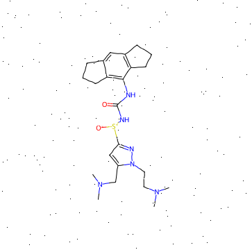 CN(C)CCn1nc([S+]([O-])NC(=O)Nc2c3c(cc4c2CCC4)CCC3)cc1CN(C)C